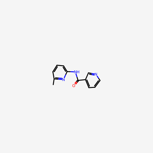 Cc1cccc(NC(=O)c2cccnc2)n1